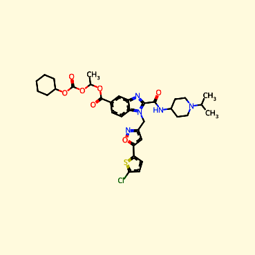 CC(OC(=O)OC1CCCCC1)OC(=O)c1ccc2c(c1)nc(C(=O)NC1CCN(C(C)C)CC1)n2Cc1cc(-c2ccc(Cl)s2)on1